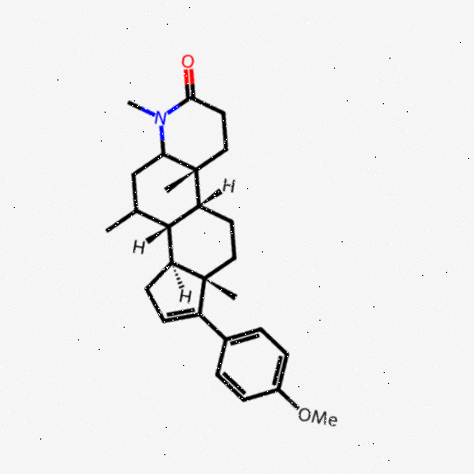 COc1ccc(C2=CC[C@H]3[C@@H]4C(C)CC5N(C)C(=O)CC[C@]5(C)[C@@H]4CC[C@]23C)cc1